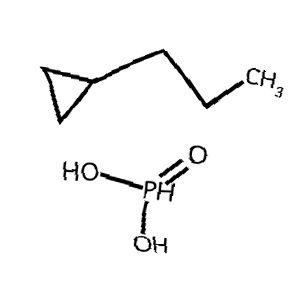 CCCC1CC1.O=[PH](O)O